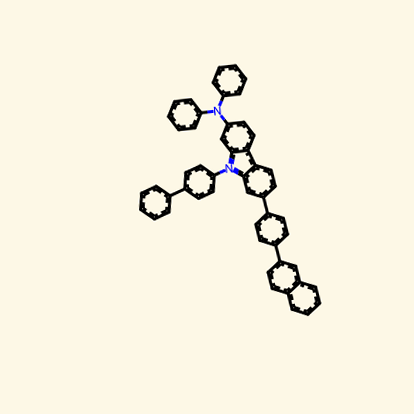 c1ccc(-c2ccc(-n3c4cc(-c5ccc(-c6ccc7ccccc7c6)cc5)ccc4c4ccc(N(c5ccccc5)c5ccccc5)cc43)cc2)cc1